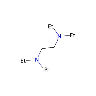 CCN(CC)CCN(CC)C(C)C